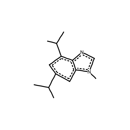 CC(C)c1cc(C(C)C)c2ncn(C)c2c1